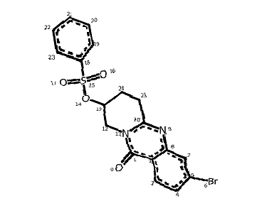 O=c1c2ccc(Br)cc2nc2n1CC(OS(=O)(=O)c1ccccc1)CC2